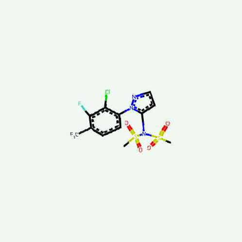 CS(=O)(=O)N(c1ccnn1-c1ccc(C(F)(F)F)c(F)c1Cl)S(C)(=O)=O